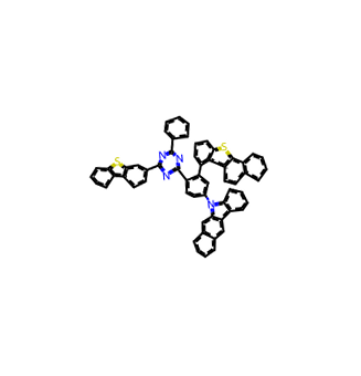 c1ccc(-c2nc(-c3ccc4c(c3)sc3ccccc34)nc(-c3ccc(-n4c5ccccc5c5cc6ccccc6cc54)cc3-c3cccc4sc5c6ccccc6ccc5c34)n2)cc1